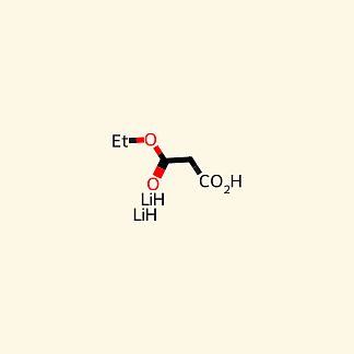 CCOC(=O)CC(=O)O.[LiH].[LiH]